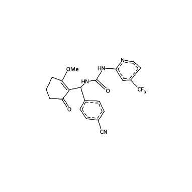 COC1=C(C(NC(=O)Nc2cc(C(F)(F)F)ccn2)c2ccc(C#N)cc2)C(=O)CCC1